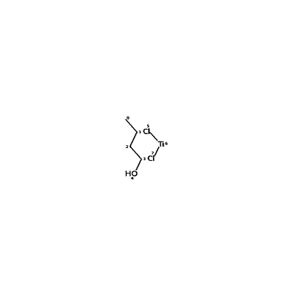 CCCCO.[Cl][Ti][Cl]